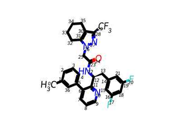 Cc1cccc(-c2cccnc2[C@H](Cc2cc(F)cc(F)c2)NC(=O)Cn2nc(C(F)(F)F)c3c2CCCC3)c1